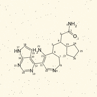 NC(=O)CC(CC1CCN=CC(c2ncnc3[nH]ccc23)=C1N)C1CCCC1